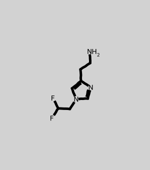 NCCc1cn(CC(F)F)cn1